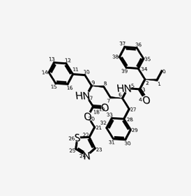 CC[C@@H](C(=O)N[C@H](CC[C@H](Cc1ccccc1)NC(=O)OCc1cncs1)Cc1ccccc1)c1ccccc1